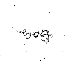 Cc1ccc(C(N)=O)nc1-c1ccc([C@H]2CC[C@H](CC(=O)O)CC2)cc1